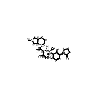 Cc1c(N2CCCC2=O)cccc1S(=O)(=O)N[C@@H](C(N)=O)C(=O)N1CCCC2CN(C)CC21